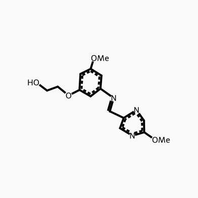 COc1cc(/N=C/c2cnc(OC)cn2)cc(OCCO)c1